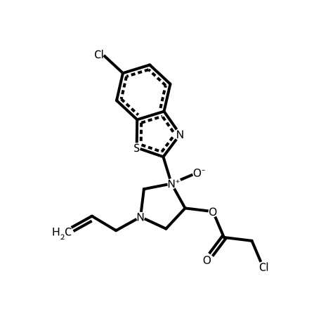 C=CCN1CC(OC(=O)CCl)[N+]([O-])(c2nc3ccc(Cl)cc3s2)C1